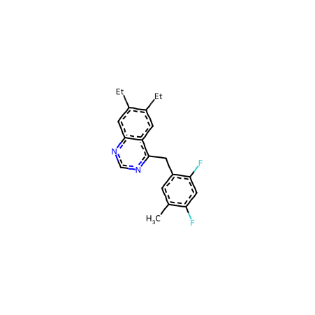 CCc1cc2ncnc(Cc3cc(C)c(F)cc3F)c2cc1CC